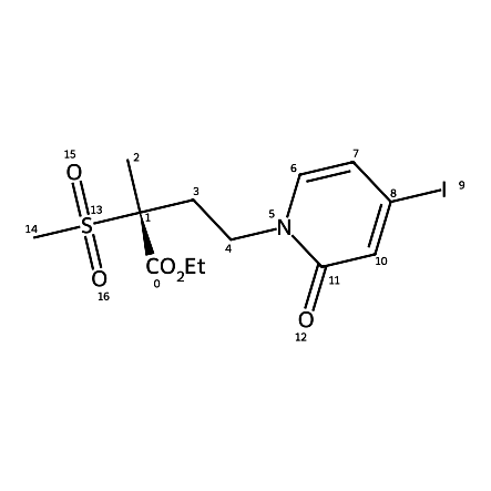 CCOC(=O)[C@@](C)(CCn1ccc(I)cc1=O)S(C)(=O)=O